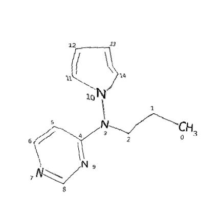 CCCN(c1ccncn1)n1cccc1